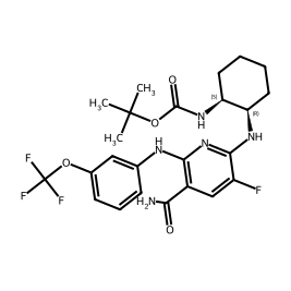 CC(C)(C)OC(=O)N[C@H]1CCCC[C@H]1Nc1nc(Nc2cccc(OC(F)(F)F)c2)c(C(N)=O)cc1F